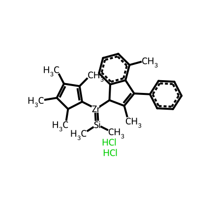 CC1=C(C)C(C)[C]([Zr]([CH]2C(C)=C(c3ccccc3)c3c(C)cccc32)=[Si](C)C)=C1C.Cl.Cl